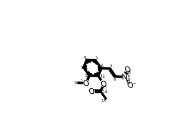 COc1cccc(/C=C/[N+](=O)[O-])c1OC(C)=O